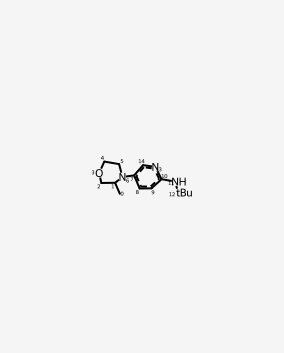 CC1COCCN1c1ccc(NC(C)(C)C)nc1